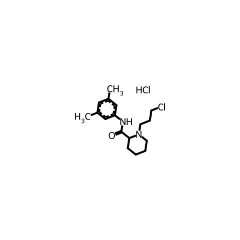 Cc1cc(C)cc(NC(=O)C2CCCCN2CCCCl)c1.Cl